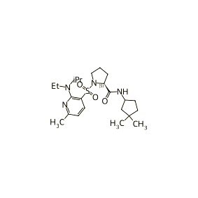 CCN(c1nc(C)ccc1S(=O)(=O)N1CCC[C@H]1C(=O)NC1CCC(C)(C)C1)C(C)C